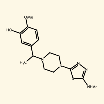 COc1ccc(C(C)N2CCN(c3nnc(NC(C)=O)s3)CC2)cc1O